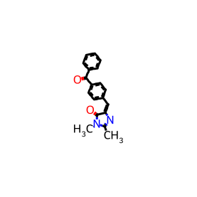 CC1=NC(=Cc2ccc(C(=O)c3ccccc3)cc2)C(=O)N1C